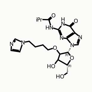 CC(C)C(=O)Nc1nc2c(ncn2[C@@H]2O[C@H](CO)C(O)C2OCCCCn2ccnc2)c(=O)[nH]1